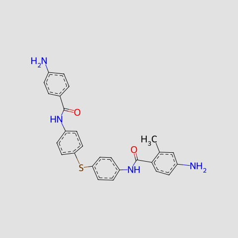 Cc1cc(N)ccc1C(=O)Nc1ccc(Sc2ccc(NC(=O)c3ccc(N)cc3)cc2)cc1